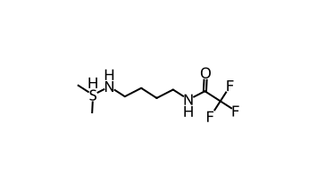 C[SH](C)NCCCCNC(=O)C(F)(F)F